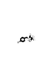 O=C(NCc1ccc(F)cc1)C(Cl)(Cl)Cl